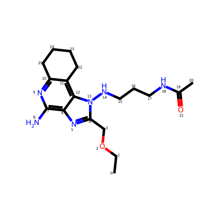 CCOCc1nc2c(N)nc3c(c2n1NCCCNC(C)=O)CCCC3